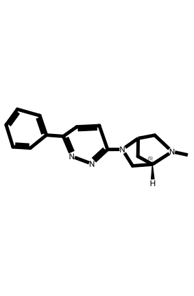 CN1CC2C[C@H]1CN2c1ccc(-c2ccccc2)nn1